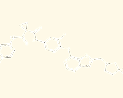 O=C(Nc1ccc(F)cc1)C1(C(=O)Nc2ccc(Oc3ccnc4cc(CN5CCC6(CC6)C5)sc34)c(F)c2)CC1